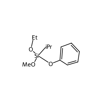 CCO[Si](OC)(Oc1ccccc1)C(C)C